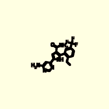 CCc1ccc(C(F)(F)F)cc1-c1[nH]c(-c2cc(N)ncn2)cc1C(N)=O